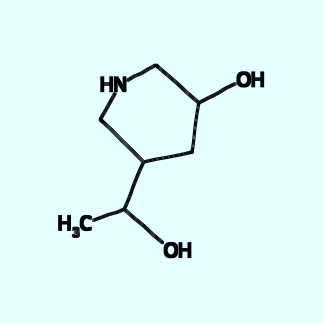 CC(O)C1CNCC(O)C1